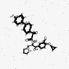 O=C(N[C@H](CN1CCCO1)[C@H](O)c1ccc(OC2CC2)c(Cl)c1)C(=O)c1ccc(-c2ccc(F)cc2)cc1